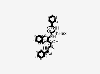 CCCCCC[C@@H](NC(=O)c1cccnc1)C(=O)N[C@@H](Cc1ccccc1)[C@@H](O)[C@H](O)[C@@H](C)NC(=O)c1ccccc1